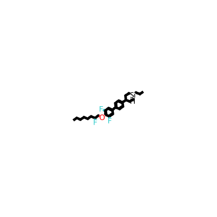 CCCCCCC(F)COc1c(F)cc(-c2ccc(C3CC[SiH](CCC)CC3)cc2)cc1F